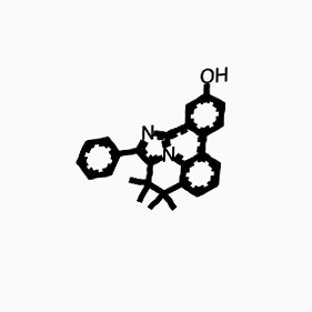 CC1(C)c2cccc3c4ccc(O)cc4c4nc(-c5ccccc5)c(n4c23)C1(C)C